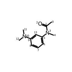 CC(=O)N(C)c1cccc(N(C)C)c1